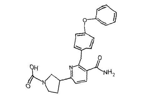 NC(=O)c1ccc(C2CCN(C(=O)O)C2)nc1-c1ccc(Oc2ccccc2)cc1